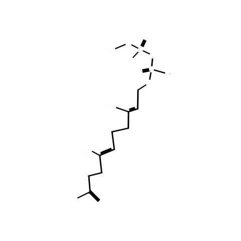 COP(=O)(O)OP(=O)(O)OC/C=C(\C)CC/C=C(\C)CCC(C)=O